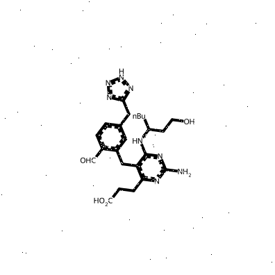 CCCCC(CCO)Nc1nc(N)nc(CCC(=O)O)c1Cc1cc(Cc2nn[nH]n2)ccc1C=O